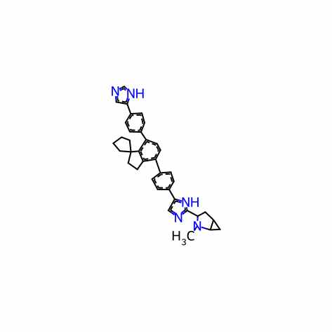 CN1C(c2ncc(-c3ccc(-c4ccc(-c5ccc(-c6cnc[nH]6)cc5)c5c4CCC54CCCC4)cc3)[nH]2)CC2CC21